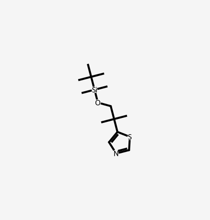 CC(C)(CO[Si](C)(C)C(C)(C)C)c1cncs1